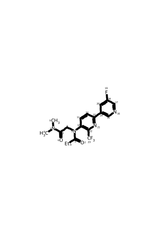 CCC(=O)N(CC(=O)N(C)C)c1ccc(-c2cncc(F)c2)nc1C(F)(F)F